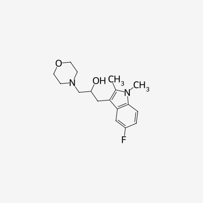 Cc1c(CC(O)CN2CCOCC2)c2cc(F)ccc2n1C